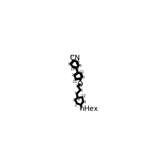 CCCCCCC1CCC(CCCOc2ccc(-c3ccc(C#N)cc3)cc2)CC1